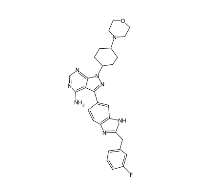 Nc1ncnc2c1c(-c1ccc3nc(Cc4cccc(F)c4)[nH]c3c1)nn2C1CCC(N2CCOCC2)CC1